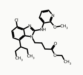 CCOC(=O)CCCn1c(Nc2cccnc2OC)nc2c(Cl)ccc(C(CC)CC)c21